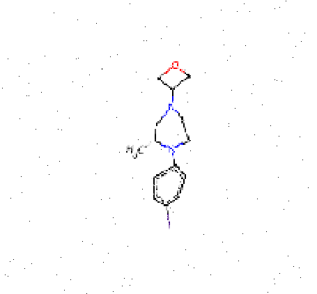 C[C@@H]1CN(C2COC2)CCN1c1ccc(I)cc1